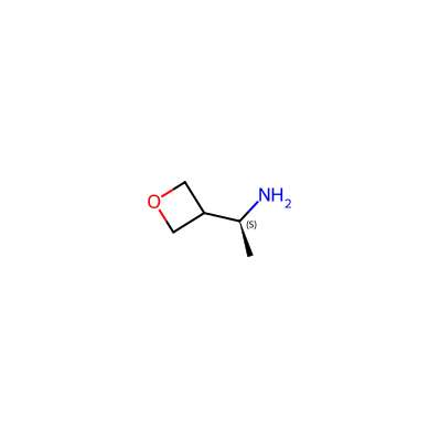 C[C@H](N)C1COC1